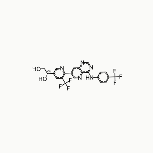 OC[C@@H](O)c1cnc(-c2cnc3c(Nc4ccc(C(F)(F)F)cc4)ncnc3c2)c(C(F)(F)F)c1